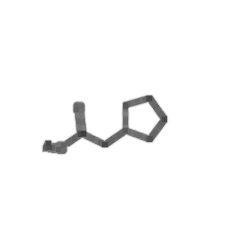 [CH2]C(=O)OC(=O)CC1CCCC1